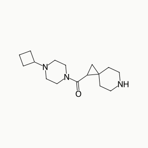 O=C(C1CC12CCNCC2)N1CCN(C2CCC2)CC1